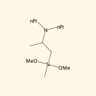 CCCN(CCC)C(C)C[Si](C)(OC)OC